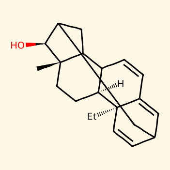 CC[C@@]12C=CC3C=C1C=CC1C4CC(C3)[C@H](O)[C@@]4(C)CC[C@@H]12